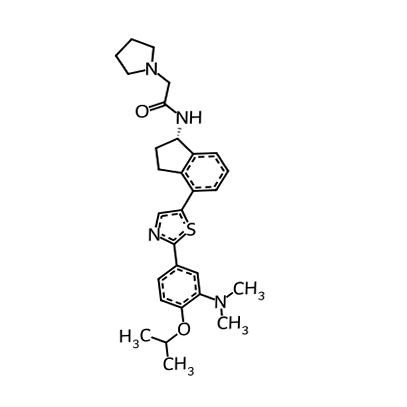 CC(C)Oc1ccc(-c2ncc(-c3cccc4c3CC[C@@H]4NC(=O)CN3CCCC3)s2)cc1N(C)C